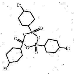 CCC1CCC(P2(=O)OP(=O)(C3CCC(CC)CC3)OP(=O)(C3CCC(CC)CC3)O2)CC1